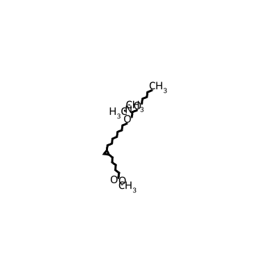 CCCCCCOCC(COCCCCCCCCC1CC1CCCCCC(=O)OC)N(C)C